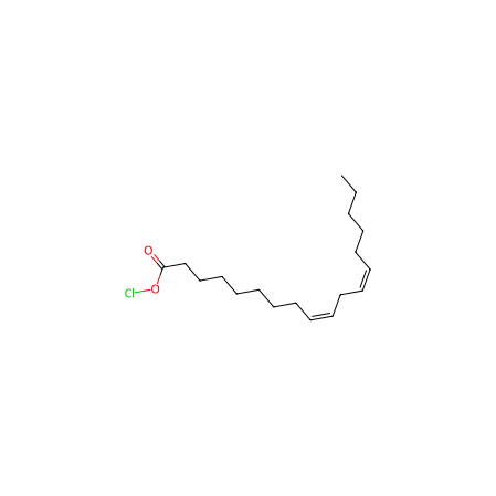 CCCCC/C=C\C/C=C\CCCCCCCC(=O)OCl